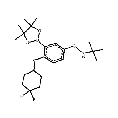 CC(C)(C)NSc1ccc(OC2CCC(F)(F)CC2)c(B2OC(C)(C)C(C)(C)O2)c1